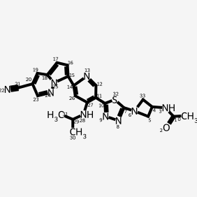 CC(=O)NC1CN(c2nnc(-c3cnc(-c4ccc5cc(C#N)cnn45)cc3NC(C)C)s2)C1